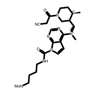 CNCCCCNC(=O)n1ccc2c(/[N+](C)=C\C3CN(C(=O)CC#N)CC[C@H]3C)ncnc21